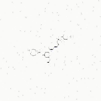 CO[C@H](C(C)OC(C)(C)C[C@H](C)/C=C/C=C(\C)[C@H]1O[C@@H](CC(=O)O)C[C@@H](OC(=O)N2CCCN(I)CC2)[C@@H]1C)[C@@H](C)O